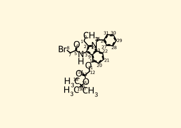 CCc1c(NC(=O)CBr)c2c(OCC(=O)OC(C)(C)C)cccc2n1Cc1ccccc1